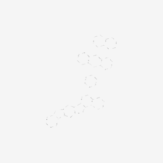 c1ccc2c(-c3c4ccccc4c(-c4ccc(-c5cc6c7cc8oc9ccccc9c8cc7oc6c6ccccc56)cc4)c4ccccc34)cccc2c1